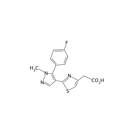 Cn1ncc(-c2nc(CC(=O)O)cs2)c1-c1ccc(F)cc1